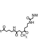 CNCC(=O)NCCCC(=O)C(C)CC(=O)NCCCC(=O)C(C)C